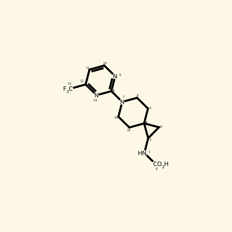 O=C(O)NC1CC12CCN(c1nccc(C(F)(F)F)n1)CC2